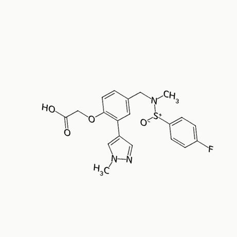 CN(Cc1ccc(OCC(=O)O)c(-c2cnn(C)c2)c1)[S+]([O-])c1ccc(F)cc1